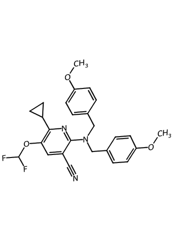 COc1ccc(CN(Cc2ccc(OC)cc2)c2nc(C3CC3)c(OC(F)F)cc2C#N)cc1